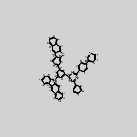 c1ccc(-c2nc(-c3ccc(-c4cccnc4)cc3)nc(-c3cc(-c4ccc5c(c4)oc4cc6ccccc6cc45)cc(-n4c5ccccc5c5cc6ccccc6cc54)c3)n2)cc1